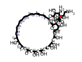 CC1OC(OC2/C=C/C=C/C=C/C=C/C=C/C=C/C=C/[C@H](C)C(O)[C@@H](C)[C@H](C)OC(=O)CC(O)CC(O)CCC(O)C(O)CC(O)CC3(O)C[C@H](O)C(NC(=O)NCCN)[C@H](C2)O3)C(O)C(N)C1O